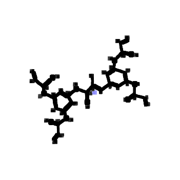 C=CC(=O)Oc1cc(/C=C(\C)C(=O)Oc2cc(OC(=O)C=C)cc(OC(=O)C=C)c2)cc(OC(=O)C=C)c1